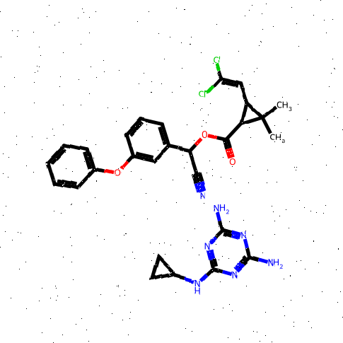 CC1(C)C(C=C(Cl)Cl)C1C(=O)OC(C#N)c1cccc(Oc2ccccc2)c1.Nc1nc(N)nc(NC2CC2)n1